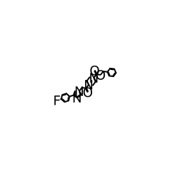 O=C(Cn1cnc(-c2ccc(F)cc2)c1)N1CCN(C(=O)OCc2ccccc2)CC1